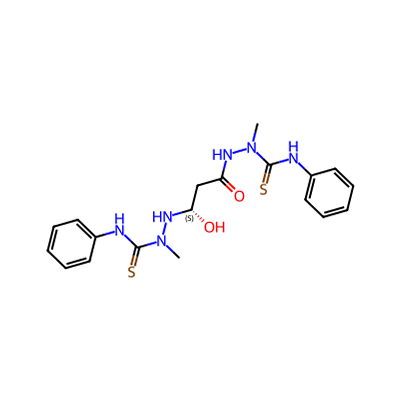 CN(NC(=O)C[C@H](O)NN(C)C(=S)Nc1ccccc1)C(=S)Nc1ccccc1